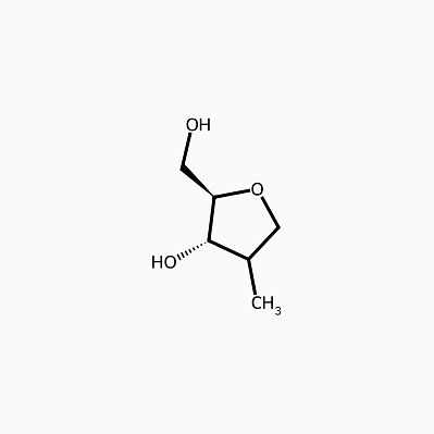 CC1CO[C@H](CO)[C@H]1O